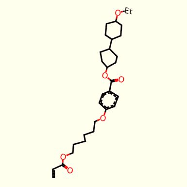 C=CC(=O)OCCCCCCOc1ccc(C(=O)OC2CCC(C3CCC(OCC)CC3)CC2)cc1